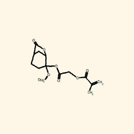 C=C(C)C(=O)OCC(=O)OC1(OC=O)CCC2CC1OC2=O